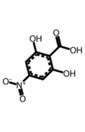 O=C(O)c1c(O)cc([N+](=O)[O-])cc1O